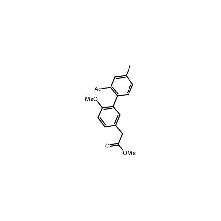 COC(=O)Cc1ccc(OC)c(-c2ccc(C)cc2C(C)=O)c1